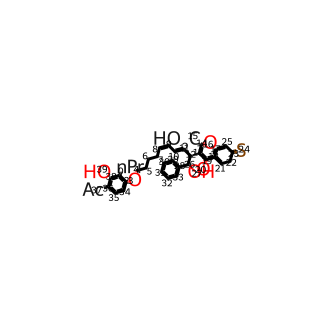 CCCc1c(OCCCC/C=C\C=C\[C@@H](c2c(C(=O)O)oc3c(c2=O)=CCC(=S)C=3)[C@@H](O)c2ccccc2)ccc(C(C)=O)c1O